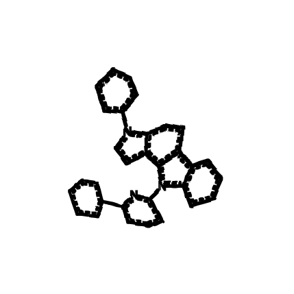 c1ccc(-c2cccc(-n3c4ccccc4c4ccc5c(ccn5-c5ccccc5)c43)n2)cc1